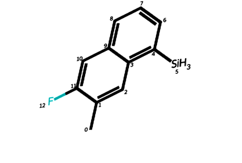 Cc1cc2c([SiH3])cccc2cc1F